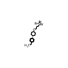 CCc1ccc([C@H]2CC[C@H](OCCC[Si](Br)(Br)Br)CC2)cc1